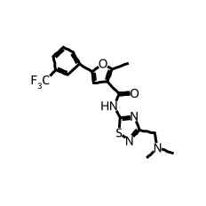 Cc1oc(-c2cccc(C(F)(F)F)c2)cc1C(=O)Nc1nc(CN(C)C)ns1